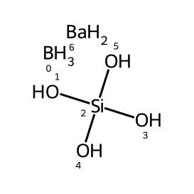 B.O[Si](O)(O)O.[BaH2]